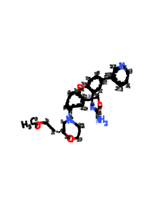 COCC[C@@H]1CN(c2ccc3c(c2)[C@]2(COC(N)=N2)c2cc(-c4cccnc4)ccc2O3)CCO1